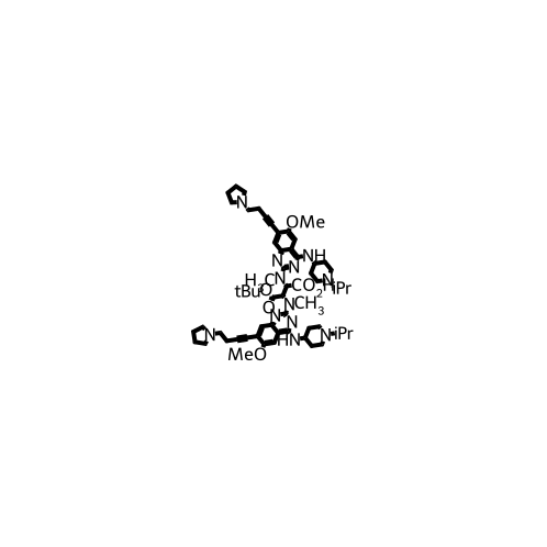 COc1cc2c(NC3CCN(C(C)C)CC3)nc(N(C)C(C(=O)O)C(C(=O)OC(C)(C)C)N(C)c3nc(NC4CCN(C(C)C)CC4)c4cc(OC)c(C#CCCN5CCCC5)cc4n3)nc2cc1C#CCCN1CCCC1